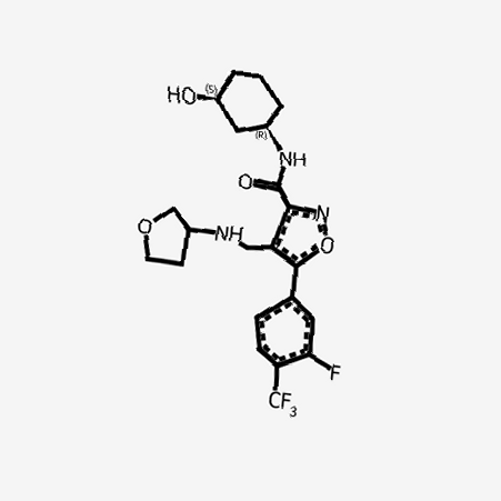 O=C(N[C@@H]1CCC[C@H](O)C1)c1noc(-c2ccc(C(F)(F)F)c(F)c2)c1CNC1CCOC1